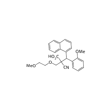 COCCOCC(C#N)(C(=O)O)C(c1ccccc1OC)c1cccc2ccccc12